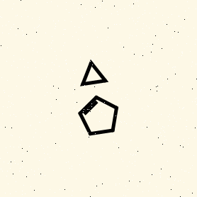 C1=CCCC1.C1CC1